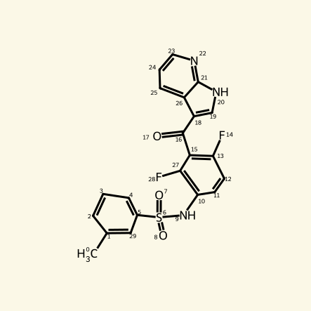 Cc1cccc(S(=O)(=O)Nc2ccc(F)c(C(=O)c3c[nH]c4ncccc34)c2F)c1